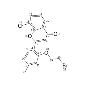 Cc1ccc(-c2cc(=O)c3cccc(Cl)c3o2)c(OCCBr)c1